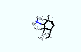 CN(C)C1C(C)(C(=O)O)C=CC(CC(=O)O)C1(C)C(=O)O